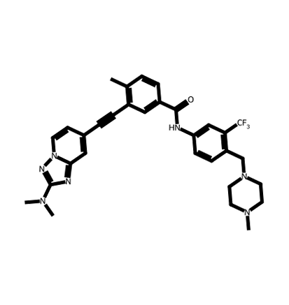 Cc1ccc(C(=O)Nc2ccc(CN3CCN(C)CC3)c(C(F)(F)F)c2)cc1C#Cc1ccn2nc(N(C)C)nc2c1